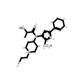 CCCCC(C)C(=O)N(c1cc(C2=CCCCC2)sc1C(=O)O)C1CCN(CCF)CC1